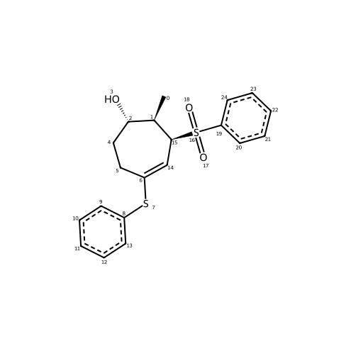 C[C@@H]1[C@@H](O)CCC(Sc2ccccc2)=C[C@@H]1S(=O)(=O)c1ccccc1